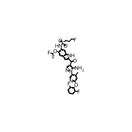 Cc1cc(Oc2c(F)cccc2F)ncc1-n1ncc(C(=O)c2cc3cc(OC(F)F)c(NS(=O)(=O)CCCF)cc3[nH]2)c1N